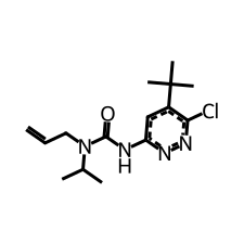 C=CCN(C(=O)Nc1cc(C(C)(C)C)c(Cl)nn1)C(C)C